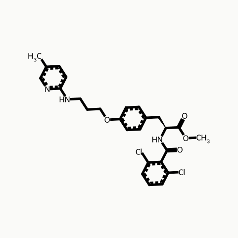 COC(=O)[C@H](Cc1ccc(OCCCNc2ccc(C)cn2)cc1)NC(=O)c1c(Cl)cccc1Cl